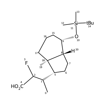 CC(C(F)C(=O)O)[C@H]1CC[C@H]2[C@@H](O[Si](C)(C)C(C)(C)C)CCC[C@]12C